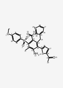 COc1ccc(S(=O)(=O)c2c(C)c(N)c(-c3ccc(C(C)=O)s3)c(Cc3cccnc3)c2C(=O)O)cc1